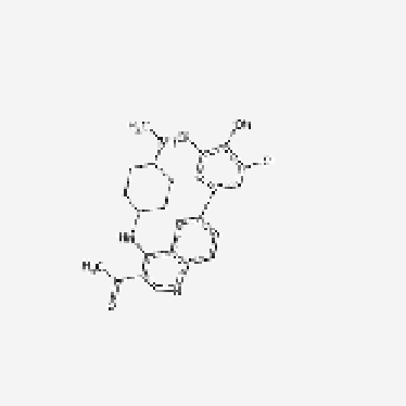 CNC1CCC(Nc2c(C(C)=O)cnc3ccc(-c4cc(Cl)c(O)c(Cl)c4)cc23)CC1